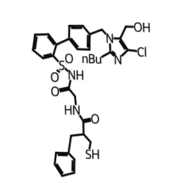 CCCCc1nc(Cl)c(CO)n1Cc1ccc(-c2ccccc2S(=O)(=O)NC(=O)CNC(=O)C(CS)Cc2ccccc2)cc1